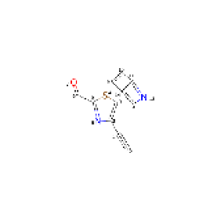 C#Cc1csc(C=O)n1.c1cc2ncc1-2